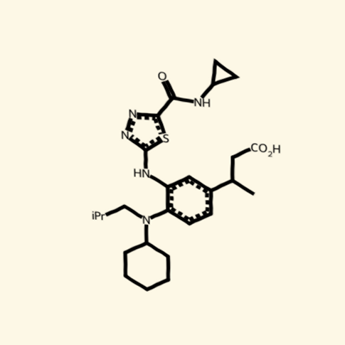 CC(C)CN(c1ccc(C(C)CC(=O)O)cc1Nc1nnc(C(=O)NC2CC2)s1)C1CCCCC1